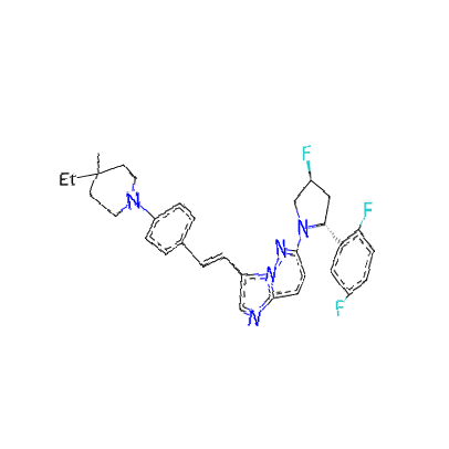 CCC1(C)CCN(c2ccc(/C=C/c3cnc4ccc(N5C[C@@H](F)C[C@@H]5c5cc(F)ccc5F)nn34)cc2)CC1